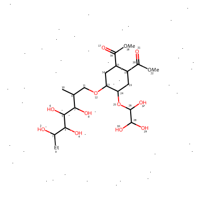 CCC(O)C(O)C(O)C(O)C(C)COC1CC(C(=O)OC)C(C(=O)OC)CC1OC(O)C(O)O